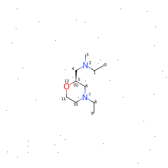 CCN(C)C[C@H]1CN(CC)CCO1